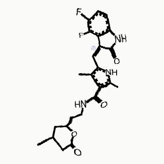 Cc1[nH]c(/C=C2\C(=O)Nc3ccc(F)c(F)c32)c(C)c1C(=O)NCCC1CC(C)CC(=O)O1